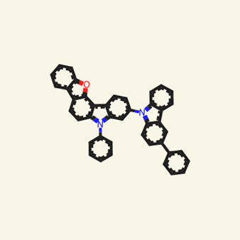 c1ccc(-c2ccc3c(c2)c2ccccc2n3-c2ccc3c4c5oc6ccccc6c5ccc4n(-c4ccccc4)c3c2)cc1